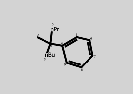 [CH2]CCC(C)(CCCC)c1ccccc1